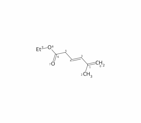 C=C(C)C=CCC(=O)OCC